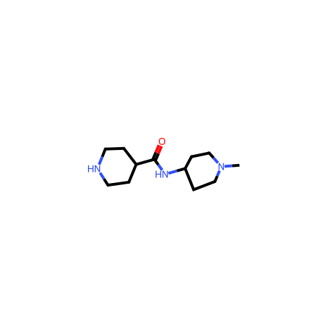 CN1CCC(NC(=O)C2CCNCC2)CC1